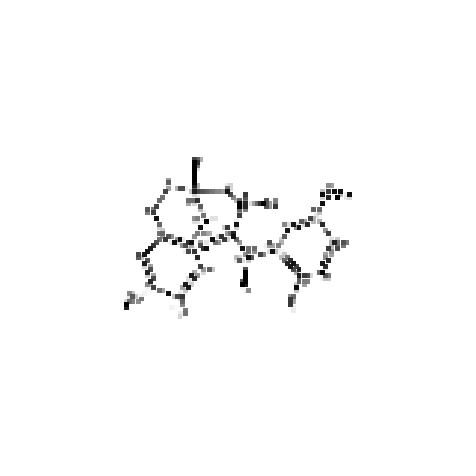 CCN(C[C@@]1(C)CCc2cc(Cl)c(C)nc2N1)C(=O)[C@H](C)c1cc(OC)ncc1F